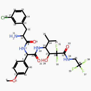 COc1ccc(C(NC(=O)C(N)Cc2cccc(Cl)c2)C(=O)NC(C(C)C)C(O)C(F)(F)C(=O)NCC(F)(F)F)cc1